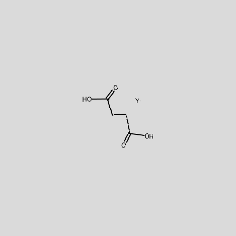 O=C(O)CCC(=O)O.[Y]